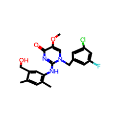 COc1cn(Cc2cc(F)cc(Cl)c2)c(Nc2cc(CO)c(C)cc2C)nc1=O